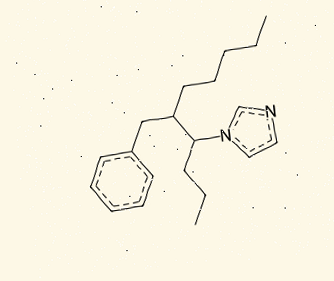 CCCCCC(Cc1ccccc1)C(CCC)n1ccnc1